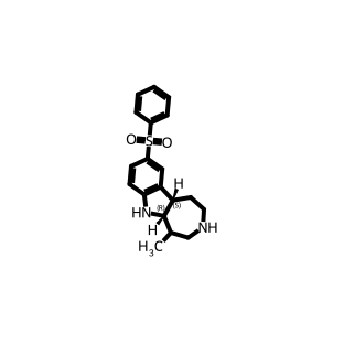 CC1CNCC[C@H]2c3cc(S(=O)(=O)c4ccccc4)ccc3N[C@@H]12